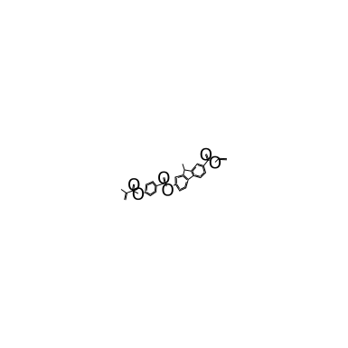 C=COC(=O)c1ccc2c(c1)C(C)c1cc(OC(=O)c3ccc(OC(=O)C(=C)C)cc3)ccc1-2